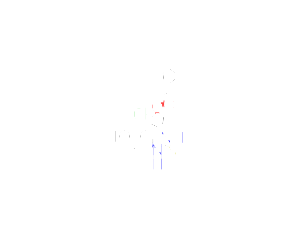 CC1=C(C(=O)O)C(c2ccc(OC(=O)C=Cc3ccccc3)c(Cl)c2)NC(=S)N1